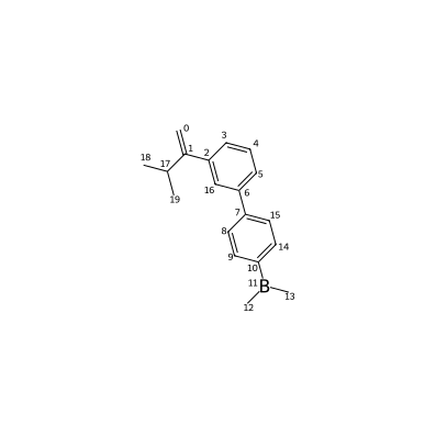 C=C(c1cccc(-c2ccc(B(C)C)cc2)c1)C(C)C